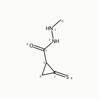 CNNC(=O)C1CC1=S